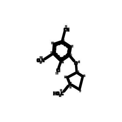 N#Cc1cc(OC2CCN(C(=O)O)C2)c(Cl)c([N+](=O)[O-])c1